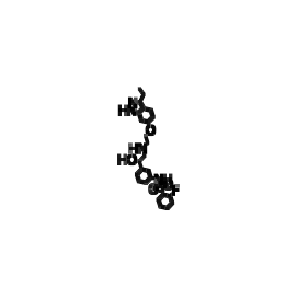 CCc1n[nH]c2cc(OCCNCC(O)c3cccc(NS(=O)(=O)c4ccccc4F)c3)ccc12